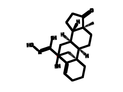 C[C@]12CC[C@@H]3[C@@H](CCC4=CCCC[C@@]43CC(S)C(S)=NO)[C@@H]1CCC2=O